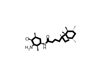 CC[C@@](C)(CCCC(=O)N[C@@H]1C[C@H](C)[C@H](Cl)[C@H](N)[C@@H]1C)[C@@]1(C)C[C@@H](C)C[C@@H](C)[C@@H]1C